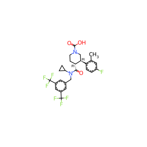 Cc1cc(F)ccc1[C@@H]1CN(C(=O)O)CC[C@H]1C(=O)N(Cc1cc(C(F)(F)F)cc(C(F)(F)F)c1)C1CC1